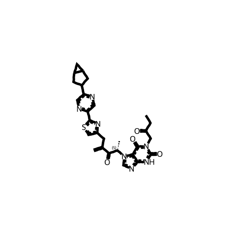 C=C(Cc1csc(-c2cnc(C3CC4CC4C3)cn2)n1)C(=O)[C@H](C)n1cnc2[nH]c(=O)n(CC(=O)CC)c(=O)c21